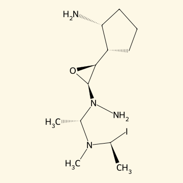 C[C@H](I)N(C)[C@H](C)N(N)[C@H]1O[C@H]1[C@H]1CCC[C@H]1N